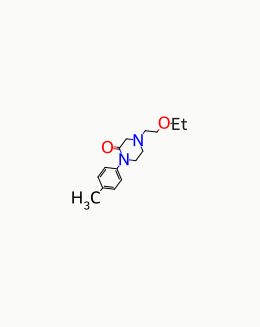 CCOCCN1CCN(c2ccc(C)cc2)C(=O)C1